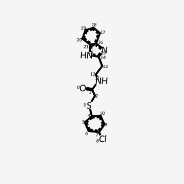 O=C(CSc1ccc(Cl)cc1)NCCc1nc2ccccc2[nH]1